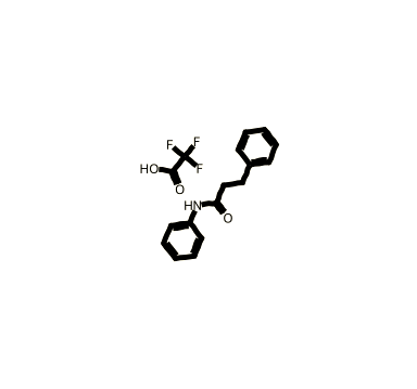 O=C(CCc1ccccc1)Nc1ccccc1.O=C(O)C(F)(F)F